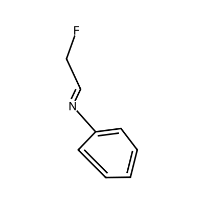 FCC=Nc1ccccc1